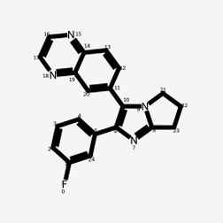 Fc1cccc(-c2nc3n(c2-c2ccc4nccnc4c2)CCC3)c1